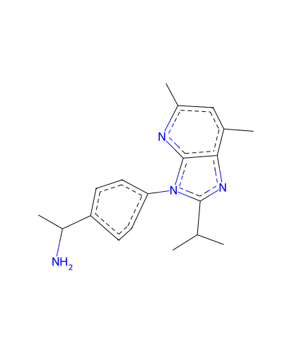 Cc1cc(C)c2nc(C(C)C)n(-c3ccc(C(C)N)cc3)c2n1